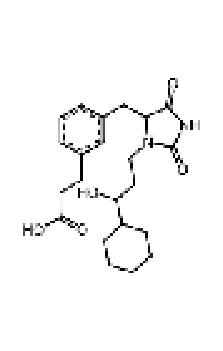 O=C(O)CCc1cccc(CC2C(=O)NC(=O)N2CCC(O)C2CCCCC2)c1